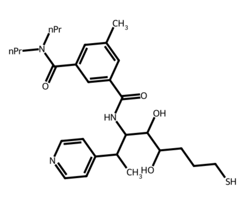 CCCN(CCC)C(=O)c1cc(C)cc(C(=O)NC(C(C)c2ccncc2)C(O)C(O)CCCS)c1